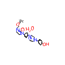 CC(C)OCCN1CCN(c2ccc(N3CCN(c4ccc(O)cc4)CC3)cc2)C1=O.O